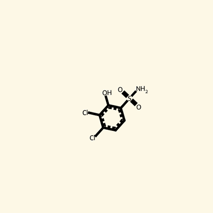 NS(=O)(=O)c1ccc(Cl)c(Cl)c1O